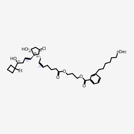 CCCCCCCCCCCCCCCCc1cccc(C(=O)OCCCOC(=O)CCC/C=C\C[C@@H]2[C@@H](/C=C/C[C@H](O)C3(CC)CCC3)[C@H](O)C[C@H]2Cl)c1